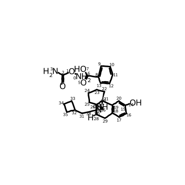 NOC(N)=O.O=C(O)c1ccccc1.Oc1ccc2c(c1)[C@@]13CCCC[C@@]1(O)[C@@H](C2)N(CC1CCC1)CC3